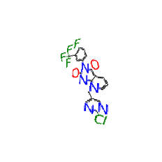 O=c1nc2n(Cc3cnc(Cl)nc3)cccc-2c(=O)n1-c1ccc(F)c(C(F)(F)F)c1